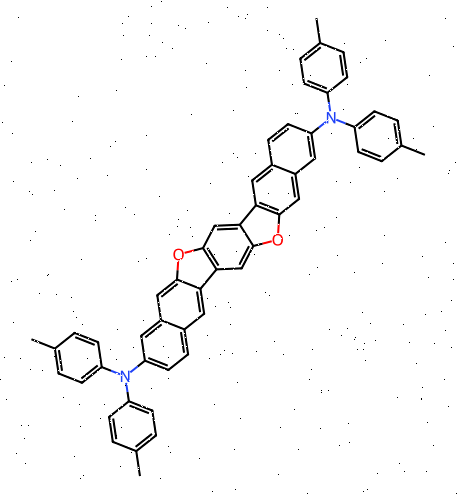 Cc1ccc(N(c2ccc(C)cc2)c2ccc3cc4c(cc3c2)oc2cc3c(cc24)oc2cc4cc(N(c5ccc(C)cc5)c5ccc(C)cc5)ccc4cc23)cc1